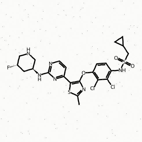 Cc1nc(Oc2ccc(NS(=O)(=O)CC3CC3)c(Cl)c2Cl)c(-c2ccnc(N[C@@H]3CNC[C@@H](F)C3)n2)s1